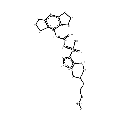 CNCCOC1COc2c(S(N)(=O)=NC(=O)Nc3c4c(cc5c3CCC5)CCC4)cnn2C1